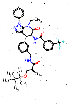 C=C(CO[Si](C)(C)C(C)(C)C)C(=O)NCc1cccc([C@@H]2c3cnn(-c4ccccc4)c3N(CC)C(=O)[C@H]2NC(=O)c2cccc(C(F)(F)F)c2)c1